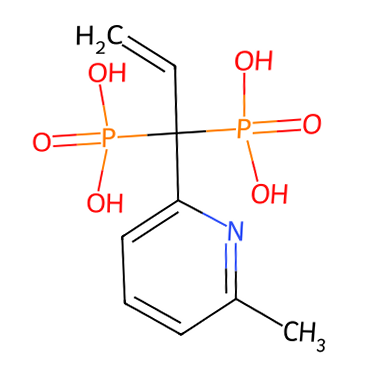 C=CC(c1cccc(C)n1)(P(=O)(O)O)P(=O)(O)O